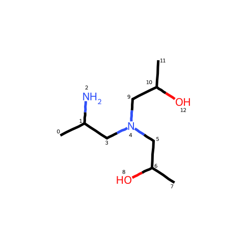 CC(N)CN(CC(C)O)CC(C)O